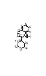 O=C(Nc1ccccc1F)C1CCCCC1